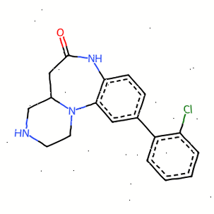 O=C1CC2CNCCN2c2cc(-c3ccccc3Cl)ccc2N1